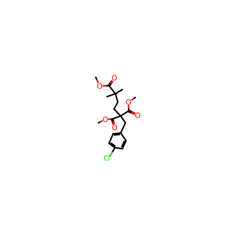 COC(=O)C(C)(C)CCC(Cc1ccc(Cl)cc1)(C(=O)OC)C(=O)OC